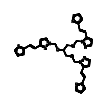 C(=C\c1cccs1)/c1ccn(COC(COCn2nccc2/C=C/c2cccs2)COCn2nccc2/C=C/c2cccs2)n1